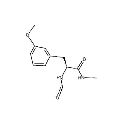 CNC(=O)[C@H](Cc1cccc(OC)c1)NC=O